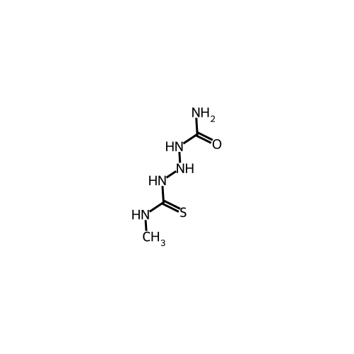 CNC(=S)NNNC(N)=O